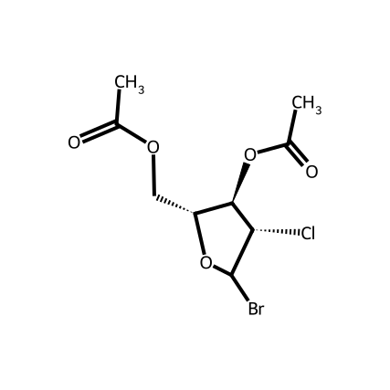 CC(=O)OC[C@H]1OC(Br)[C@@H](Cl)[C@@H]1OC(C)=O